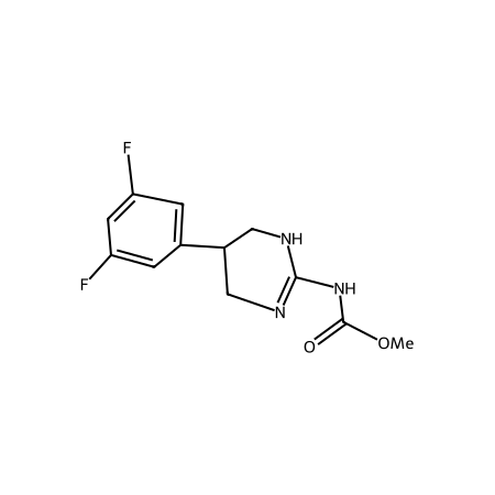 COC(=O)NC1=NCC(c2cc(F)cc(F)c2)CN1